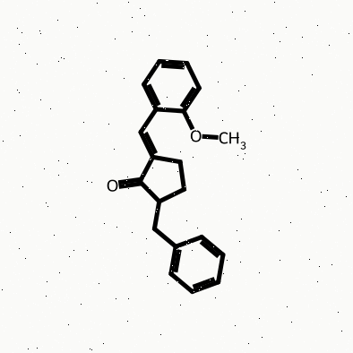 COc1ccccc1C=C1CCC(Cc2ccccc2)C1=O